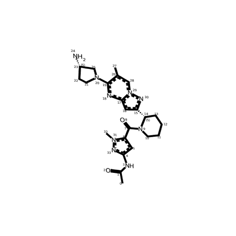 CC(=O)Nc1cc(C(=O)N2CCCC[C@H]2c2cc3nc(N4CC[C@H](N)C4)c(C)cn3n2)n(C)n1